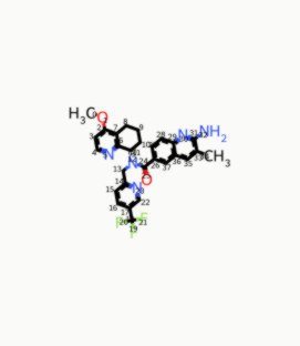 COc1ccnc2c1CCC[C@@H]2N(Cc1ccc(C(F)(F)F)cn1)C(=O)c1ccc2nc(N)c(C)cc2c1